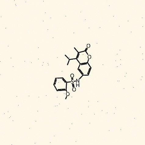 COc1ccccc1S(=O)(=O)Nc1ccc2oc(=O)c(C)c(C(C)C)c2c1